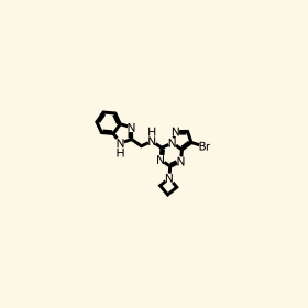 Brc1cnn2c(NCc3nc4ccccc4[nH]3)nc(N3CCC3)nc12